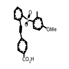 COc1ccc(S(=O)(=O)c2ccccc2C#Cc2ccc(C(=O)O)cc2)c(C)c1